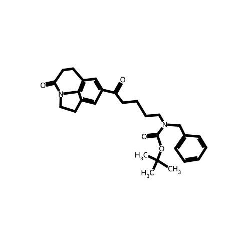 CC(C)(C)OC(=O)N(CCCCC(=O)c1cc2c3c(c1)CCN3C(=O)CC2)Cc1ccccc1